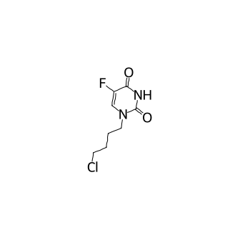 O=c1[nH]c(=O)n(CCCCCl)cc1F